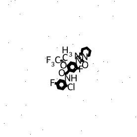 C[C@H](Oc1cc(-n2nc3n(c2=O)CCCC3)c(F)cc1C(=O)Nc1cc(F)ccc1Cl)C(F)(F)F